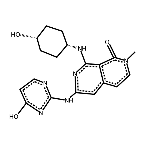 Cn1ccc2cc(Nc3nccc(O)n3)nc(N[C@H]3CC[C@@H](O)CC3)c2c1=O